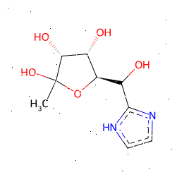 CC1(O)O[C@H](C(O)c2ncc[nH]2)[C@@H](O)[C@H]1O